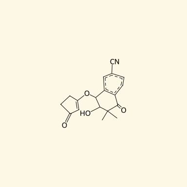 CC1(C)C(=O)c2ccc(C#N)cc2C(OC2=CC(=O)CC2)C1O